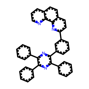 c1ccc(-c2nc(-c3ccccc3)c(-c3cccc(-c4ccc5ccc6cccnc6c5n4)c3)nc2-c2ccccc2)cc1